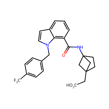 O=C(O)CC12CCC(NC(=O)c3cccc4ccn(Cc5ccc(C(F)(F)F)cc5)c34)(C1)C2